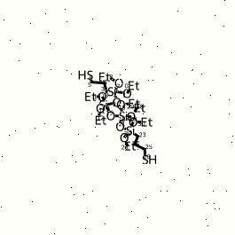 CCO[Si](CCCS)(OCC)O[Si](OCC)(OCC)O[Si](OCC)(OCC)O[Si](CCCS)(OCC)OCC